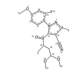 COc1ccc(-n2nc(C)c(C#N)c2C(=O)C(C)CC(OC)OC)c(F)c1